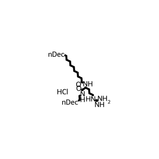 CCCCCCCCCCCCCCCCCCCC(=O)NC(CCCNC(=N)N)C(=O)NCCCCCCCCCCCC.Cl